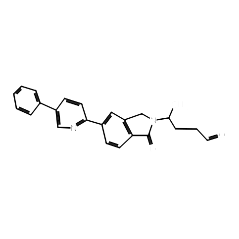 CC(CCC=O)N1Cc2cc(-c3ccc(-c4ccccc4)cn3)ccc2C1=O